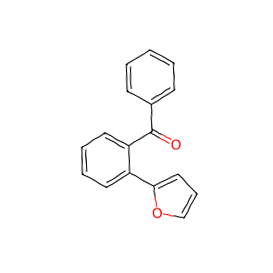 O=C(c1ccccc1)c1ccccc1-c1ccco1